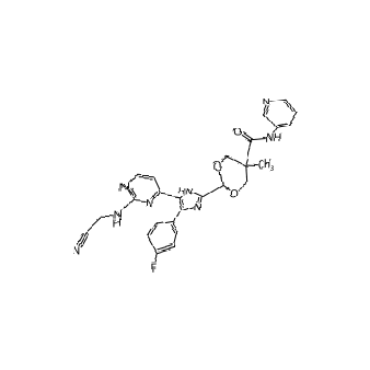 CC1(C(=O)Nc2cccnc2)COC(c2nc(-c3ccc(F)cc3)c(-c3ccnc(NCC#N)n3)[nH]2)OC1